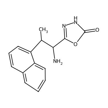 CC(c1cccc2ccccc12)C(N)c1n[nH]c(=O)o1